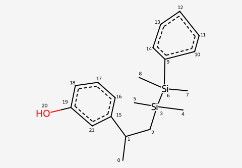 CC(C[Si](C)(C)[Si](C)(C)c1ccccc1)c1cccc(O)c1